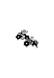 CCCCC1=NC2(CCCC2)C(=O)N1Cc1ccn(-c2ccccc2S(=O)(=O)Nc2noc(C)c2C)c1